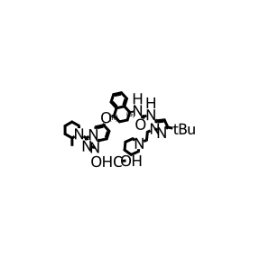 CC1CCCCN1c1nnc2ccc(O[C@@H]3CC[C@H](NC(=O)Nc4cc(C(C)(C)C)nn4CCN4CCCCC4)c4ccccc43)cn12.O=CO